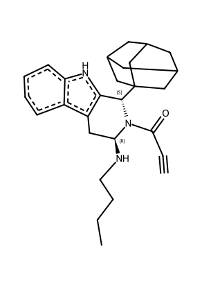 C#CC(=O)N1[C@@H](NCCCC)Cc2c([nH]c3ccccc23)[C@@H]1C12CC3CC(CC(C3)C1)C2